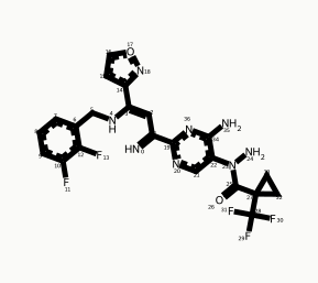 N=C(/C=C(\NCc1cccc(F)c1F)c1ccon1)c1ncc(N(N)C(=O)C2(C(F)(F)F)CC2)c(N)n1